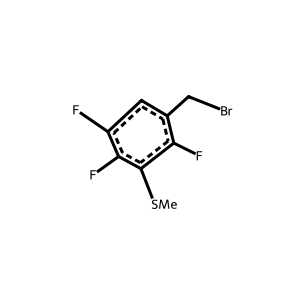 CSc1c(F)c(F)cc(CBr)c1F